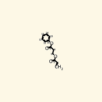 C=CC(=O)OCCC(=O)Oc1ccccc1